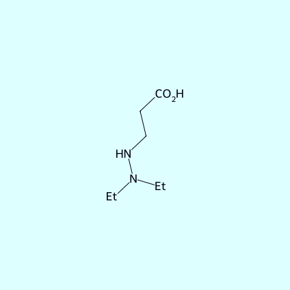 CCN(CC)NCCC(=O)O